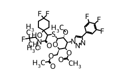 CO[C@@H]1[C@@H](n2cc(-c3cc(F)c(F)c(F)c3)nn2)[C@@H](OC(C)=O)[C@@H](COC(C)=O)O[C@H]1SC(C(=O)N(C)CC(C)(C)F)C1(O)CCC(F)(F)CC1